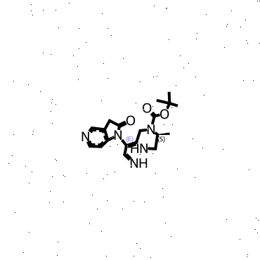 C[C@H]1CN/C(=C(\C=N)N2C(=O)Cc3cnccc32)CN1C(=O)OC(C)(C)C